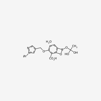 CC(C)n1cc(COc2ccc3c(c2C(=O)O)OB3OC(C)(O)O)cn1.O